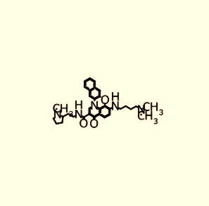 CN(C)CCCCNc1ccc2c(=O)c(C(=O)NCCC3CCCN3C)cn3c2c1Oc1cc2ccccc2cc1-3